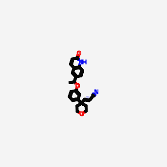 CC(Oc1cccc(C2(/C=C/C#N)CCOCC2)c1)c1ccc2[nH]c(=O)ccc2c1